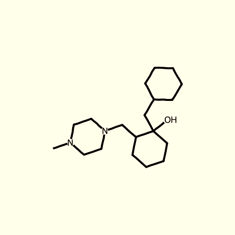 CN1CCN(CC2CCCCC2(O)CC2CCCCC2)CC1